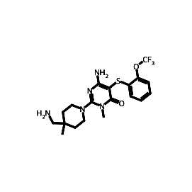 Cn1c(N2CCC(C)(CN)CC2)nc(N)c(Sc2ccccc2OC(F)(F)F)c1=O